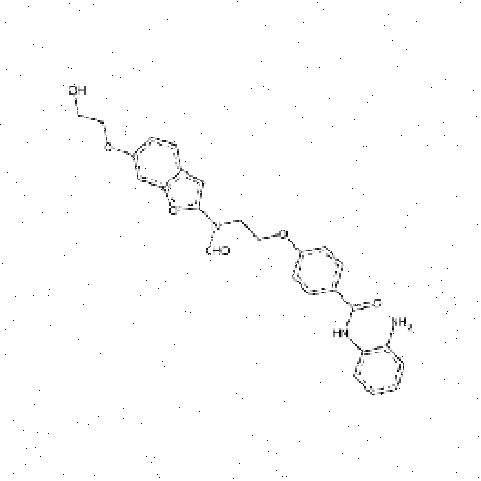 Nc1ccccc1NC(=O)c1ccc(OCCN(C=O)c2cc3ccc(OCCO)cc3o2)cc1